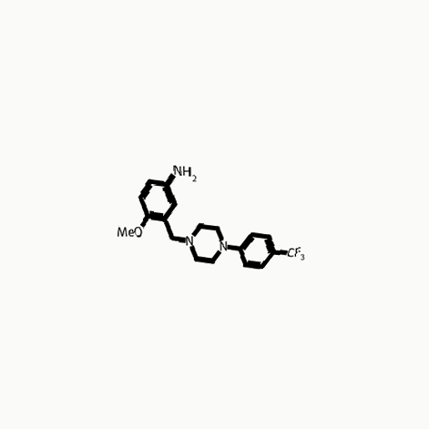 COc1ccc(N)cc1CN1CCN(c2ccc(C(F)(F)F)cc2)CC1